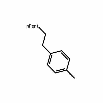 [CH2]CCCCCCc1ccc([CH2])cc1